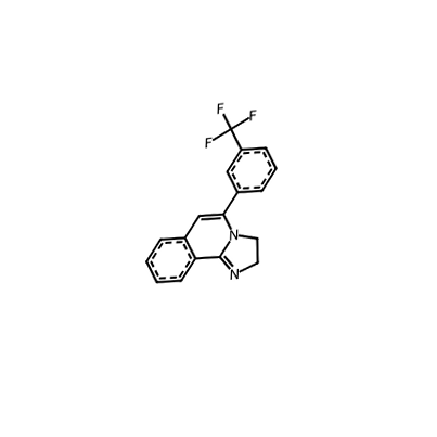 FC(F)(F)c1cccc(C2=Cc3ccccc3C3=NCCN23)c1